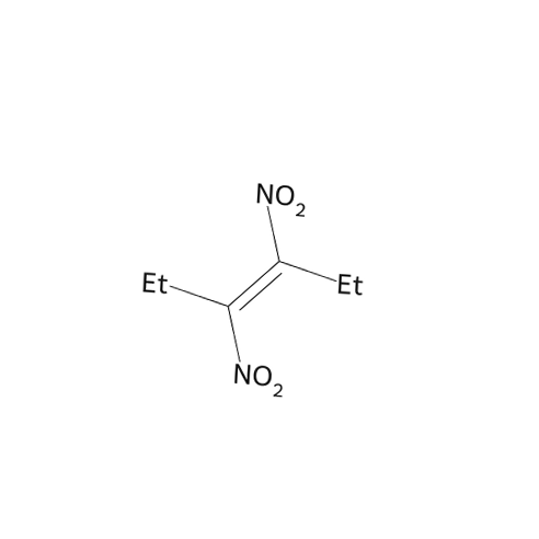 CCC(=C(CC)[N+](=O)[O-])[N+](=O)[O-]